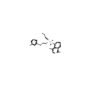 Cc1cnc(O)c2cccc(S(=O)(=O)N(C=CCN)CCCc3cccc(C(=O)O)c3)c12